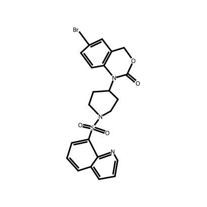 O=C1OCc2cc(Br)ccc2N1C1CCN(S(=O)(=O)c2cccc3cccnc23)CC1